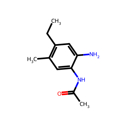 CCc1cc(N)c(NC(C)=O)cc1C